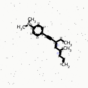 C=C/C=C(C)/C=C(/C#Cc1ccc(N(C)C)cc1)CC